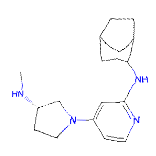 CN[C@H]1CCN(c2ccnc(NC3CC4CCC3C4)c2)C1